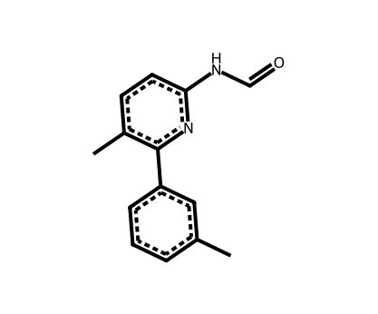 Cc1cccc(-c2nc(NC=O)ccc2C)c1